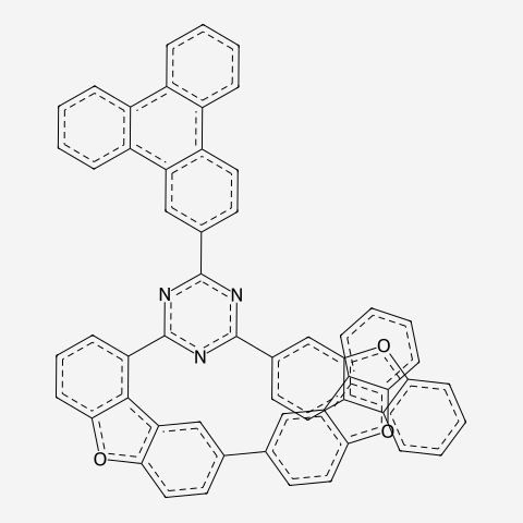 c1ccc2c(c1)oc1cc(-c3nc(-c4ccc5c6ccccc6c6ccccc6c5c4)nc(-c4cccc5oc6ccc(-c7ccc8oc9ccccc9c8c7)cc6c45)n3)ccc12